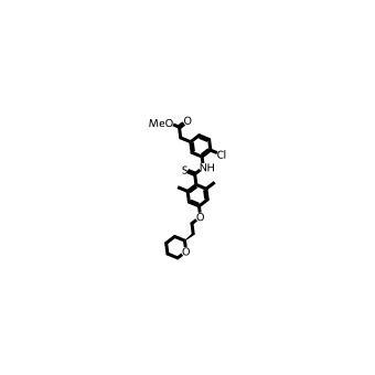 COC(=O)Cc1ccc(Cl)c(NC(=S)c2c(C)cc(OCC[C@@H]3CCCCO3)cc2C)c1